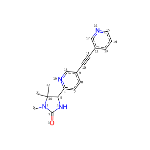 CN1C(=O)NC(c2ccc(C#Cc3cccnc3)cn2)C1(C)C